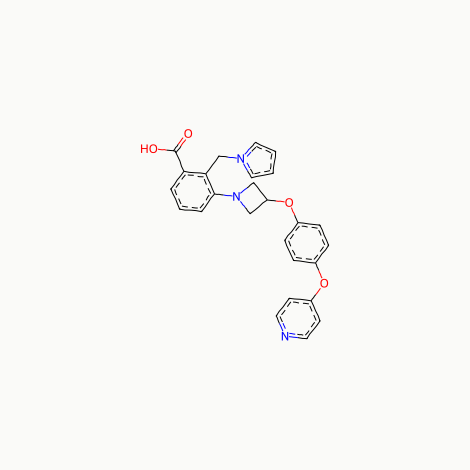 O=C(O)c1cccc(N2CC(Oc3ccc(Oc4ccncc4)cc3)C2)c1Cn1cccc1